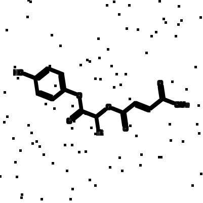 CCC(OC(=O)/C=C/C(=O)OC)C(=O)Oc1ccc(O)cc1